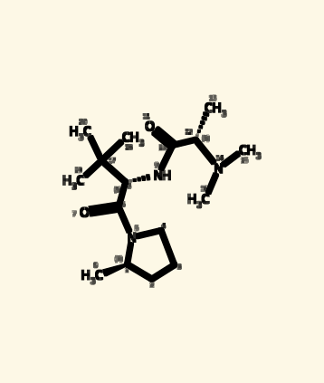 C[C@@H]1CCCN1C(=O)[C@@H](NC(=O)[C@H](C)N(C)C)C(C)(C)C